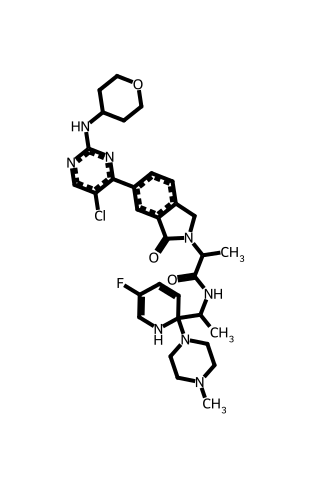 CC(C(=O)NC(C)C1(N2CCN(C)CC2)C=CC(F)=CN1)N1Cc2ccc(-c3nc(NC4CCOCC4)ncc3Cl)cc2C1=O